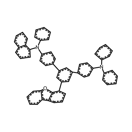 c1ccc(N(c2ccccc2)c2ccc(-c3cc(-c4ccc(N(c5ccccc5)c5cccc6ccccc56)cc4)cc(-c4cccc5c4oc4ccccc45)c3)cc2)cc1